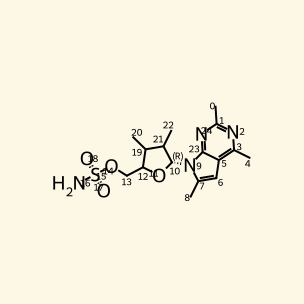 Cc1nc(C)c2cc(C)n([C@@H]3OC(COS(N)(=O)=O)C(C)C3C)c2n1